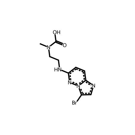 CN(CCNc1ccc2ncc(Br)n2n1)C(=O)O